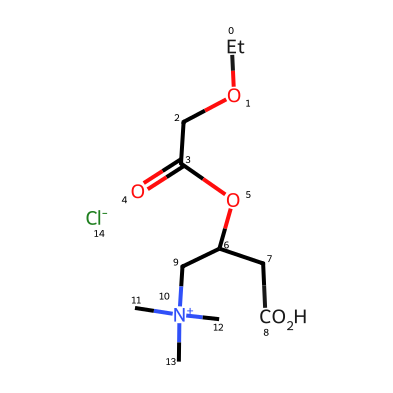 CCOCC(=O)OC(CC(=O)O)C[N+](C)(C)C.[Cl-]